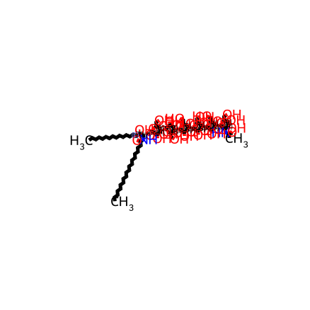 CCCCCCCCCCCCC/C=C/[C@@H](O)[C@H](CO[C@@H]1OC(CO)[C@@H](O[C@@H]2OC(CO)[C@H](O[C@@H]3OC(CO)[C@H](O)[C@H](O[C@H]4OC(CO)[C@H](O)[C@H](O[C@H]5OC(CO)[C@H](O)[C@H](O[C@@H]6OC(CO)[C@H](O)[C@H](O)C6NC(C)=O)C5O)C4O)C3O)[C@H](O)C2O)[C@H](O)C1O)NC(=O)CCCCCCCCCCCCCCCCCCC